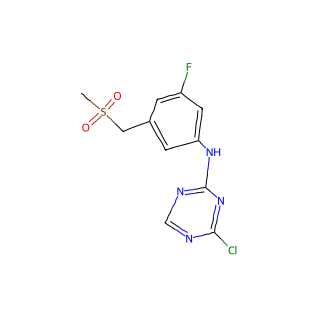 CS(=O)(=O)Cc1cc(F)cc(Nc2ncnc(Cl)n2)c1